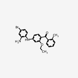 CCOc1cc(Nc2ccc(Br)cc2N)ccc1C(=O)c1ccccc1C